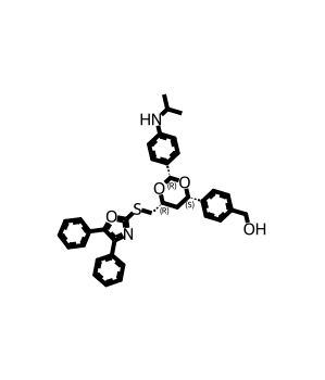 CC(C)Nc1ccc([C@H]2O[C@@H](CSc3nc(-c4ccccc4)c(-c4ccccc4)o3)C[C@@H](c3ccc(CO)cc3)O2)cc1